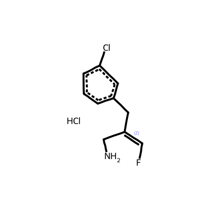 Cl.NC/C(=C\F)Cc1cccc(Cl)c1